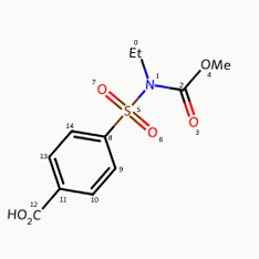 CCN(C(=O)OC)S(=O)(=O)c1ccc(C(=O)O)cc1